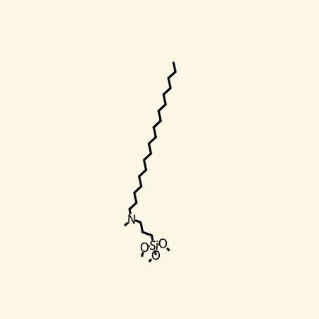 CCCCCCCCCCCCCCCCCCCN(C)CCC[Si](OC)(OC)OC